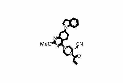 C=CC(=O)N1CCN(c2nc(OC)nc3c2CCC(N2CCc4ccccc42)C3)C[C@@H]1CC#N